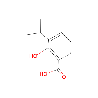 CC(C)c1cccc(C(=O)O)c1O